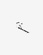 CN(CC(=O)O)S(=O)(=O)C(F)(F)C(F)(F)C(F)(F)C(F)(F)C(F)(F)C(F)(F)F